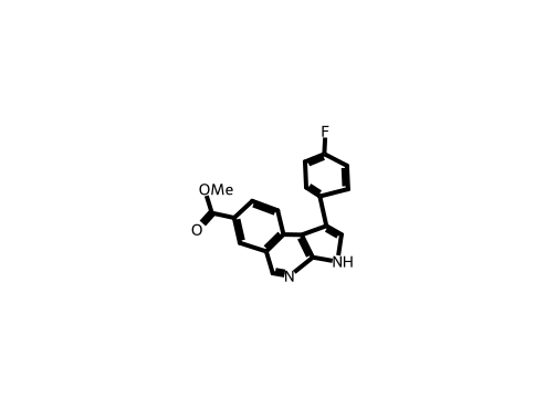 COC(=O)c1ccc2c(cnc3[nH]cc(-c4ccc(F)cc4)c32)c1